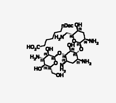 CCCCCCCCCCCCCCCC(=O)O.NC[C@H]1O[C@H](O[C@H]2[C@H](O)[C@@H](O[C@H]3O[C@H](CO)[C@@H](O)[C@H](N)[C@H]3O)[C@H](N)C[C@@H]2N)[C@H](N)C[C@@H]1O